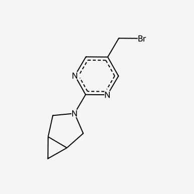 BrCc1cnc(N2CC3CC3C2)nc1